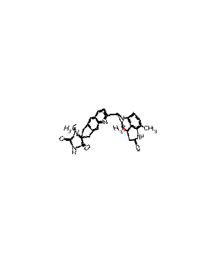 Cc1ccc2c3c1NC(=O)CC3(C)CN2Cc1ccc2cc3c(cc2n1)CC1(C3)C(=O)NC(=O)N1C